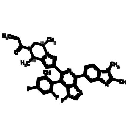 C=CC(=O)N1C[C@H](C)n2nc(-c3nc(-c4ccc5c(c4)nc(C)n5C)c4scc(F)c4c3-c3c(O)cc(F)cc3F)cc2[C@H]1C